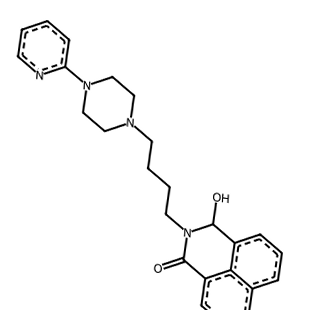 O=C1c2cccc3cccc(c23)C(O)N1CCCCN1CCN(c2ccccn2)CC1